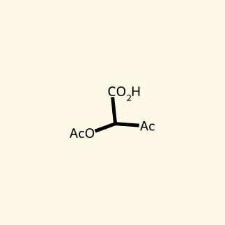 CC(=O)OC(C(C)=O)C(=O)O